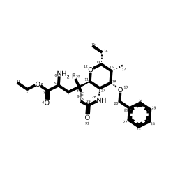 CCOC(=O)C(N)CC(F)(F)[C@H]1O[C@H](CC)[C@H](C)[C@H](OCc2ccccc2)[C@@H]1NC(C)=O